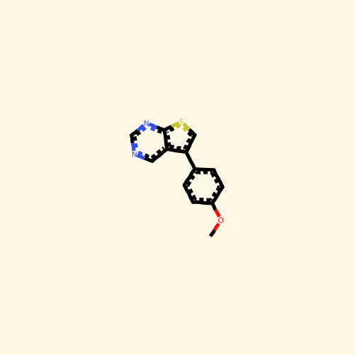 COc1ccc(-c2csc3ncn[c]c23)cc1